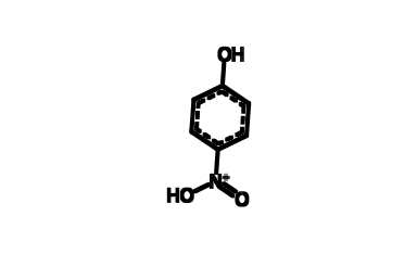 O=[N+](O)c1ccc(O)cc1